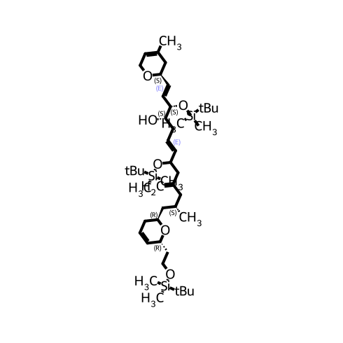 C=C(CC(/C=C/C[C@H](O)[C@H](/C=C/[C@@H]1CC(C)=CCO1)O[Si](C)(C)C(C)(C)C)O[Si](C)(C)C(C)(C)C)C[C@H](C)C[C@@H]1CC=C[C@@H](CCO[Si](C)(C)C(C)(C)C)O1